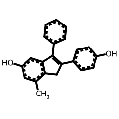 Cc1cc(O)cc2c1CC(c1ccc(O)cc1)=C2c1ccccc1